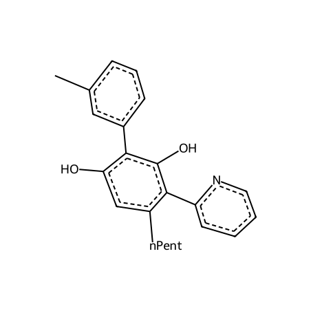 CCCCCc1cc(O)c(-c2cccc(C)c2)c(O)c1-c1ccccn1